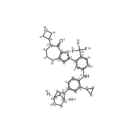 O=C1c2sc(-c3nc(Nc4ccc(N5C[C@H]6C[C@@H]5CO6)cc4C4CC4)ncc3C(F)(F)F)cc2SCCN1C1COC1